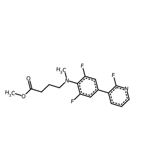 COC(=O)CCCN(C)c1c(F)cc(-c2cccnc2F)cc1F